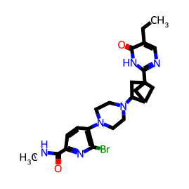 CCc1cnc(C23CC(C2)C(N2CCN(c4ccc(C(=O)NC)nc4Br)CC2)C3)[nH]c1=O